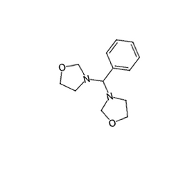 c1ccc(C(N2CCOC2)N2CCOC2)cc1